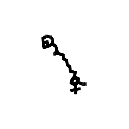 CC(C)(C)c1ccc(CCCCCCCC2SC2CC2SSSCC3CC2S3)cc1O